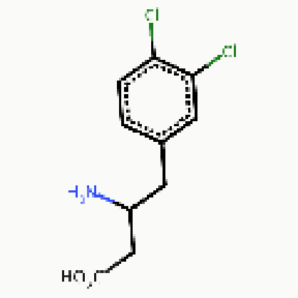 NC(CC(=O)O)Cc1ccc(Cl)c(Cl)c1